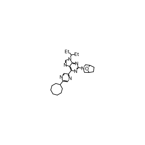 CCC(CC)n1cnc2c(-c3cnc(C4CCCCCCC4)cn3)nc(N3CC4CCC(C3)O4)nc21